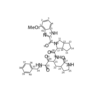 COc1cccc2[nH]c(C(=O)N3CC4CCCC4C3C(=O)NC(CC3CCNC3=O)C(=O)C(=O)NCc3ccccc3)nc12